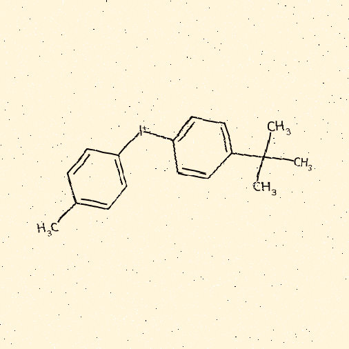 Cc1ccc([I+]c2ccc(C(C)(C)C)cc2)cc1